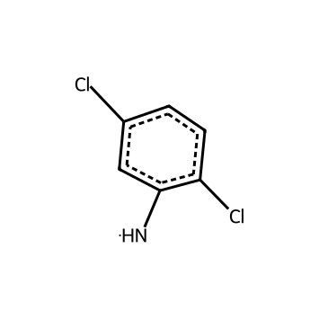 [NH]c1cc(Cl)ccc1Cl